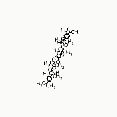 C=C(C)c1ccc(C(C)(C)NC(=O)OCC(C)(C)C2OCC3(CO2)COC(C(C)(C)COC(=O)NC(C)(C)c2ccc(C(=C)C)cc2)OC3)cc1